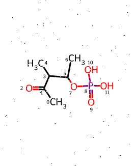 CC(=O)C(C)C(C)OP(=O)(O)O